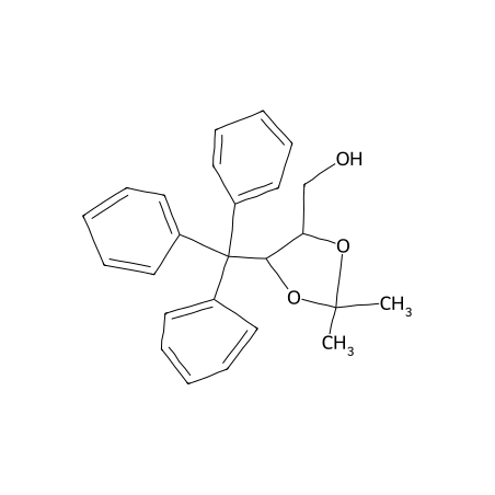 CC1(C)OC(CO)C(C(c2ccccc2)(c2ccccc2)c2ccccc2)O1